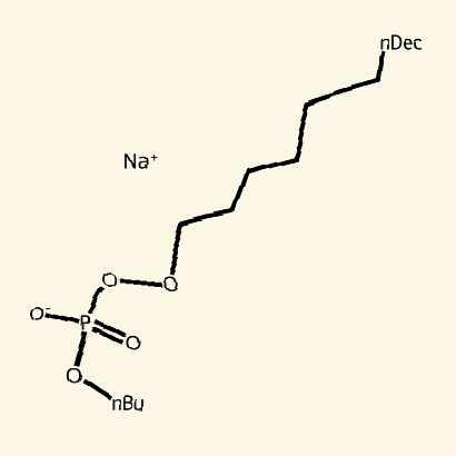 CCCCCCCCCCCCCCCCOOP(=O)([O-])OCCCC.[Na+]